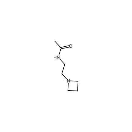 CC(=O)NCCN1CCC1